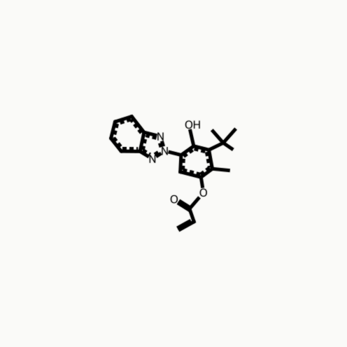 C=CC(=O)Oc1cc(-n2nc3ccccc3n2)c(O)c(C(C)(C)C)c1C